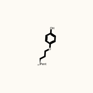 CCC[C@H](C)CCCOc1ccc(O)cc1